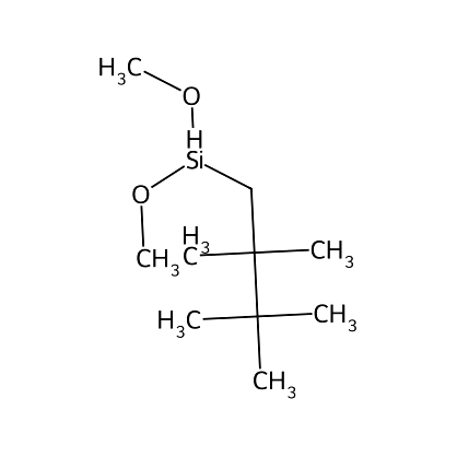 CO[SiH](CC(C)(C)C(C)(C)C)OC